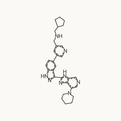 c1ncc(-c2ccc3[nH]nc(-c4nc5c(N6CCCCC6)cncc5[nH]4)c3c2)cc1CNCC1CCCC1